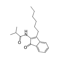 CCCCCCC1=C(NC(=O)C(C)C)C(=O)c2ccccc21